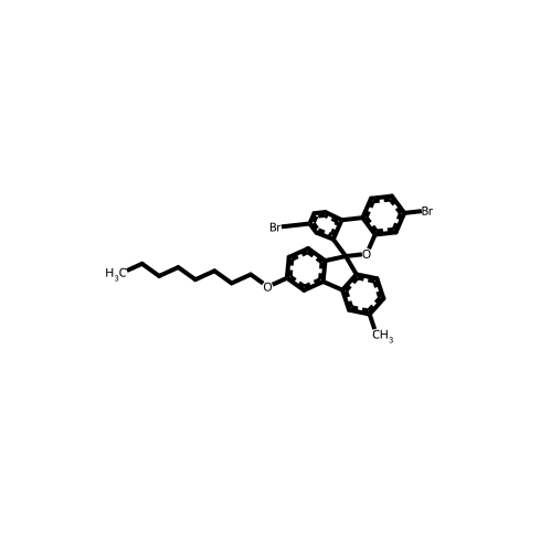 CCCCCCCCOc1ccc2c(c1)-c1cc(C)ccc1C21Oc2cc(Br)ccc2-c2ccc(Br)cc21